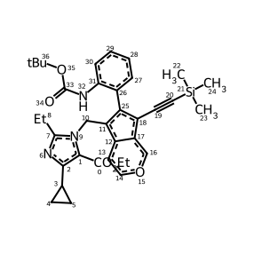 CCOC(=O)c1c(C2CC2)nc(CC)n1Cc1c2ccocc-2c(C#C[Si](C)(C)C)c1-c1ccccc1NC(=O)OC(C)(C)C